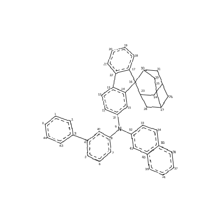 c1ccc(-c2cccc(N(c3ccc4c(c3)C3(c5ccccc5-4)C4CC5CC(C4)CC3C5)c3ccc4ccccc4c3)c2)cc1